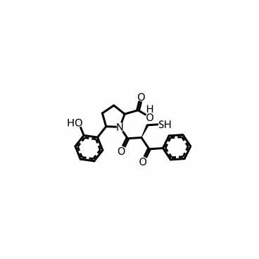 O=C(O)C1CCC(c2ccccc2O)N1C(=O)[C@@H](CS)C(=O)c1ccccc1